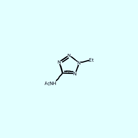 CCn1nnc(NC(C)=O)n1